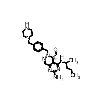 CCCC(C)Nc1nc(N)nc2c1[C@H](C=O)N(Cc1ccc(CN3CCNCC3)cc1)N=C2